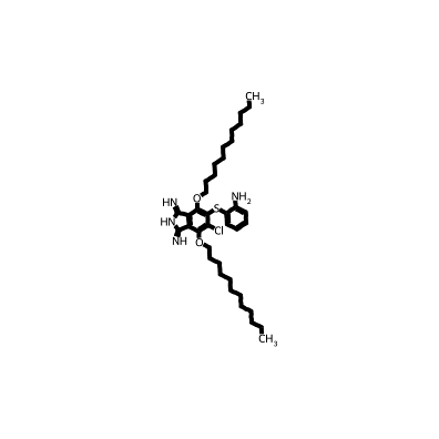 CCCCCCCCCCCCOc1c(Cl)c(Sc2ccccc2N)c(OCCCCCCCCCCCC)c2c1C(=N)NC2=N